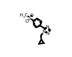 CS(=O)(=O)c1ccc(-c2n[c]nn2CC2CC2)cc1